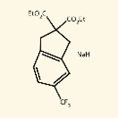 CCOC(=O)C1(C(=O)OCC)Cc2ccc(C(F)(F)F)cc2C1.[NaH]